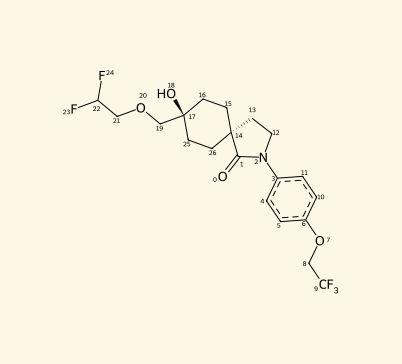 O=C1N(c2ccc(OCC(F)(F)F)cc2)CC[C@]12CC[C@@](O)(COCC(F)F)CC2